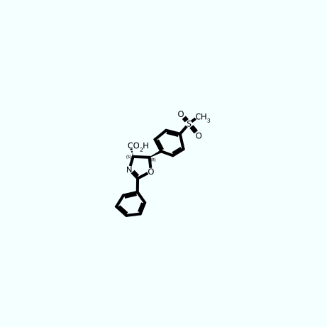 CS(=O)(=O)c1ccc([C@H]2OC(c3ccccc3)=N[C@@H]2C(=O)O)cc1